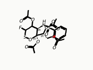 CC(=O)OC[C@@H](OC(C)=O)[C@@]1(OC(C)=O)OSC(F)C(OC(C)=O)[C@H]1NS(=O)(=O)c1ccccc1